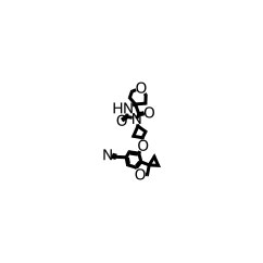 N#Cc1cc2c(c(OC3CC(N4C(=O)NC5(CCOCC5)C4=O)C3)c1)C1(CC1)CO2